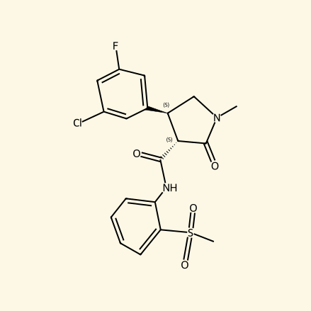 CN1C[C@H](c2cc(F)cc(Cl)c2)[C@@H](C(=O)Nc2ccccc2S(C)(=O)=O)C1=O